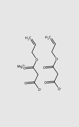 C=CCOC(=O)CC(=O)[O-].C=CCOC(=O)CC(=O)[O-].[Mg+2]